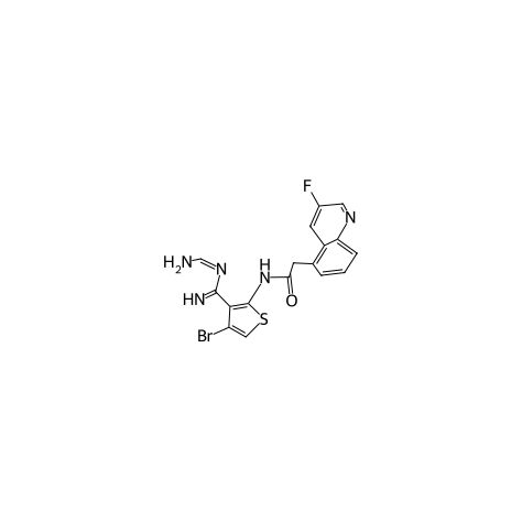 N=C(/N=C\N)c1c(Br)csc1NC(=O)Cc1cccc2ncc(F)cc12